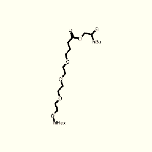 CCCCCCOCCOCCOCCOCCCC(=O)OCC(CC)CCCC